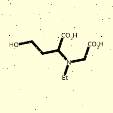 CCN(CC(=O)O)C(CCO)C(=O)O